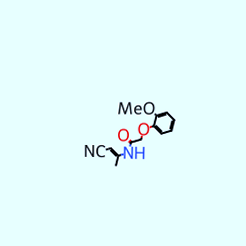 COc1ccccc1OCC(=O)NC(C)=CC#N